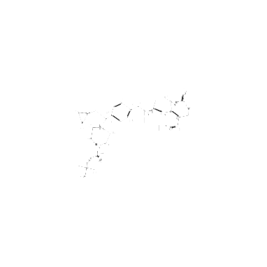 C/C(=N\C1=C(C=N)COC(=O)N1C)NCc1ccc(C(CC2CC2)N2CCN(C(=O)OC(C)(C)C)CC2)cc1